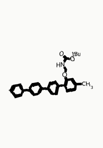 Cc1ccc(-c2ccc(-c3ccc(-c4ccccc4)cc3)cc2)c(OCNC(=O)OC(C)(C)C)c1